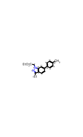 CCOC(=O)Cn1nc(CC)c2ccc(-c3ccc(C)cc3)cc21